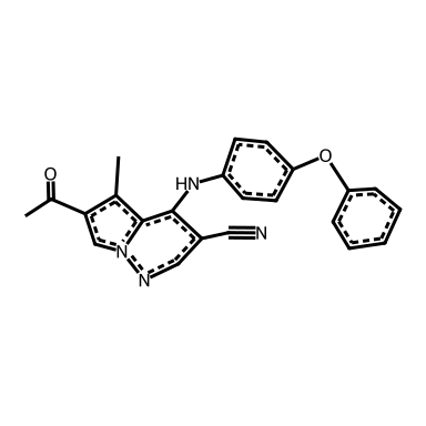 CC(=O)c1cn2ncc(C#N)c(Nc3ccc(Oc4ccccc4)cc3)c2c1C